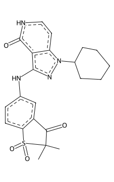 CC1(C)C(=O)c2cc(Nc3nn(C4CCCCC4)c4cc[nH]c(=O)c34)ccc2S1(=O)=O